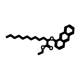 CCCCCCCCCCC(Oc1cccc2cc3ccccc3cc12)C(=O)OCC